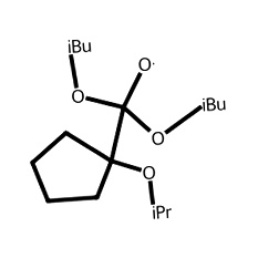 CCC(C)OC([O])(OC(C)CC)C1(OC(C)C)CCCC1